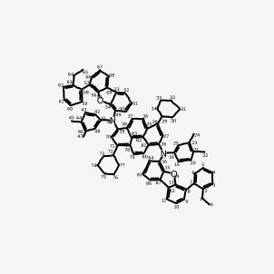 CCc1ccccc1-c1cccc2c1oc1c(N(c3ccc(C)c(C)c3)c3cc(C4CCCCC4)c4ccc5c(N(c6ccc(C)c(C)c6)c6cccc7c6oc6c(-c8ccccc8CC)cccc67)cc(C6CCCCC6)c6ccc3c4c65)cccc12